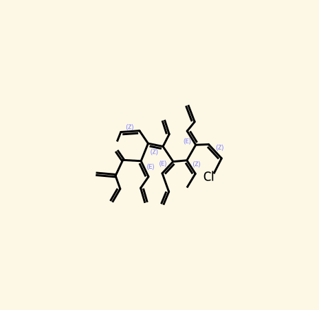 C=C/C=C(\C=C/Cl)C(=C/C)/C(=C\C=C)C(/C=C)=C(/C=C\C)C(=C\C=C)\C(=C)C(=C)C=C